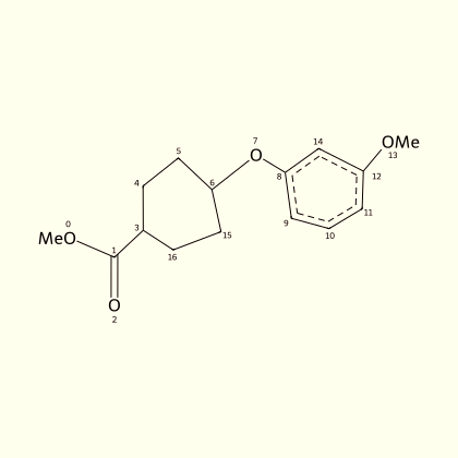 COC(=O)C1CCC(Oc2cccc(OC)c2)CC1